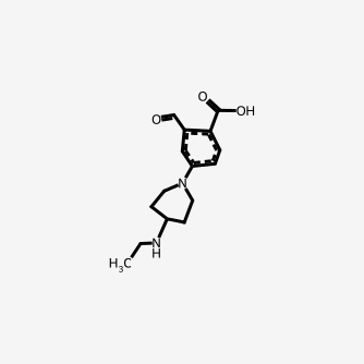 CCNC1CCN(c2ccc(C(=O)O)c(C=O)c2)CC1